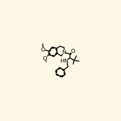 COc1cc2c(cc1OC)CN(C(=O)C(NCc1ccccc1)C(C)(C)C)CC2